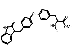 COC(=O)C(Cc1ccc(Oc2ccc(CC3C(=O)Nc4ccccc43)cc2)cc1)NCl